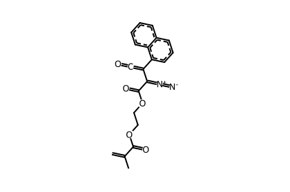 C=C(C)C(=O)OCCOC(=O)C(=[N+]=[N-])C(=C=O)c1cccc2ccccc12